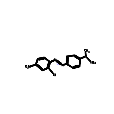 CCCCN(C)c1ccc(/N=N/c2ccc([N+](=O)[O-])cc2Cl)cc1